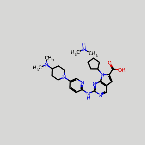 CN(C)C1CCN(c2ccc(Nc3ncc4cc(C(=O)O)n(C5CCCC5)c4n3)nc2)CC1.CNC